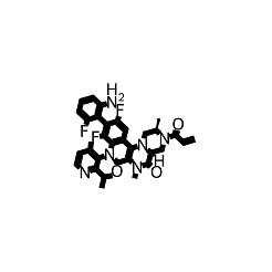 C=CC(=O)N1C[C@@H]2C(=O)N(C)c3c(c4cc(F)c(-c5c(N)cccc5F)c(F)c4n(-c4c(C)ccnc4C(C)C)c3=O)N2C[C@H]1C